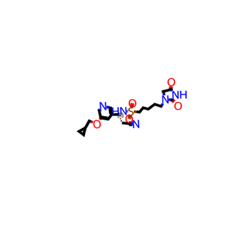 N#CC[C@@H](NS(=O)(=O)CCCCCN1CC(=O)NC1=O)c1cncc(OCC2CC2)c1